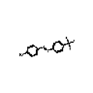 Oc1ccc(N=Nc2ccc(C(F)(F)F)cc2)cc1